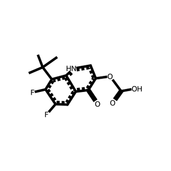 CC(C)(C)c1c(F)c(F)cc2c(=O)c(OC(=O)O)c[nH]c12